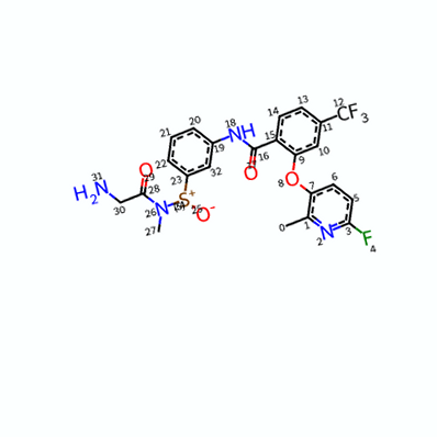 Cc1nc(F)ccc1Oc1cc(C(F)(F)F)ccc1C(=O)Nc1cccc([S@@+]([O-])N(C)C(=O)CN)c1